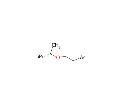 CC(=O)CCO[C@@H](C)C(C)C